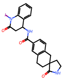 O=C(NC1CC(=O)N(I)c2ccccc21)c1ccc2c(c1)CCC1(CCNC1=O)C2